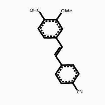 COc1cc(C=Cc2ccc(C#N)cc2)ccc1C=O